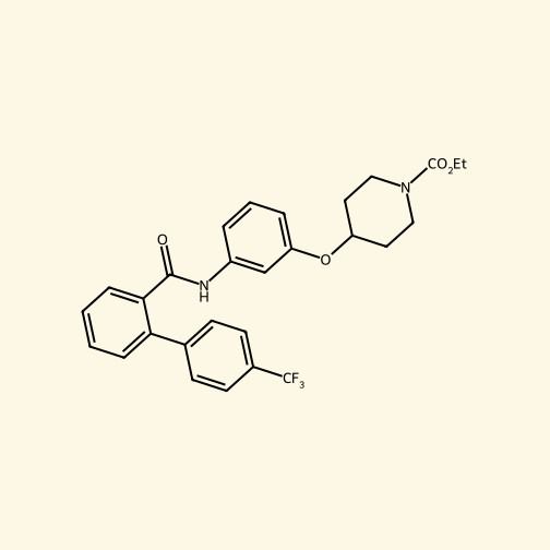 CCOC(=O)N1CCC(Oc2cccc(NC(=O)c3ccccc3-c3ccc(C(F)(F)F)cc3)c2)CC1